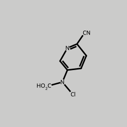 N#Cc1ccc(N(Cl)C(=O)O)cn1